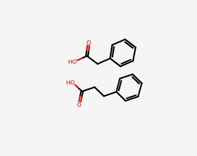 O=C(O)CCc1ccccc1.O=C(O)Cc1ccccc1